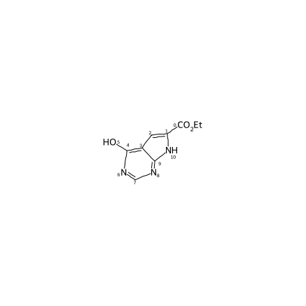 CCOC(=O)c1cc2c(O)ncnc2[nH]1